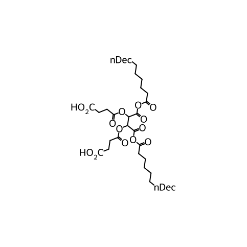 CCCCCCCCCCCCCCCC(=O)OC(=O)C(OC(=O)CCC(=O)O)C(OC(=O)CCC(=O)O)C(=O)OC(=O)CCCCCCCCCCCCCCC